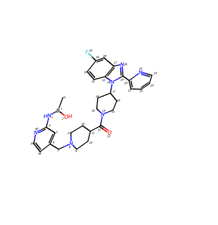 CB(O)Nc1cc(CN2CCC(C(=O)N3CCC(n4c(-c5ccccn5)nc5cc(F)ccc54)CC3)CC2)ccn1